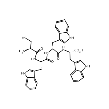 N[C@@H](CS)C(=O)N[C@@H](Cc1c[nH]c2ccccc12)C(=O)N[C@@H](Cc1c[nH]c2ccccc12)C(=O)N[C@@H](Cc1c[nH]c2ccccc12)C(=O)O